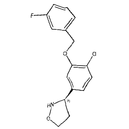 Fc1cccc(COc2cc([C@H]3CCON3)ccc2Cl)c1